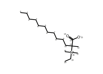 CCCCCCCCCCCC(C)(C(=O)[O-])[N+](C)(C)CC